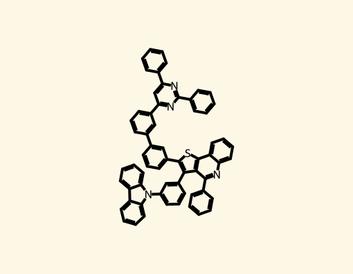 c1ccc(-c2cc(-c3cccc(-c4cccc(-c5sc6c(c(-c7ccccc7)nc7ccccc76)c5-c5cccc(-n6c7ccccc7c7ccccc76)c5)c4)c3)nc(-c3ccccc3)n2)cc1